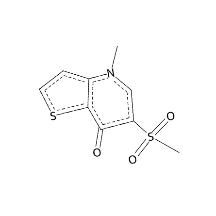 Cn1cc(S(C)(=O)=O)c(=O)c2sccc21